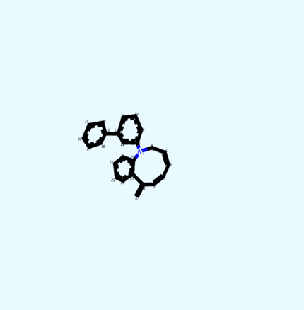 C=C1/C=C\C=C/CN(c2cccc(-c3ccccc3)c2)c2ccccc21